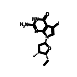 CC[C@H]1O[C@@H](n2cc(I)c3c(=O)[nH]c(N)nc32)C[C@H]1C